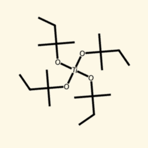 CCC(C)(C)[O][Ti]([O]C(C)(C)CC)([O]C(C)(C)CC)[O]C(C)(C)CC